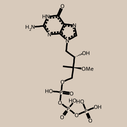 CO[C@](C)(COP(=O)(O)OP(=O)(O)OP(=O)(O)O)[C@@H](O)Cn1cnc2c(=O)[nH]c(N)nc21